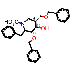 O=C(O)N1C[C@H](COCc2ccccc2)[C@@H](O)[C@H](OCc2ccccc2)C1Cc1ccccc1